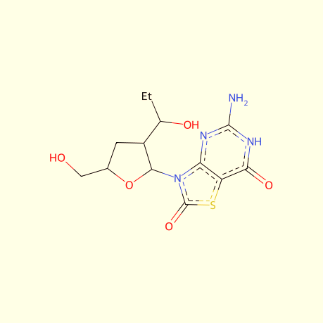 CCC(O)C1CC(CO)OC1n1c(=O)sc2c(=O)[nH]c(N)nc21